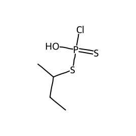 CCC(C)SP(O)(=S)Cl